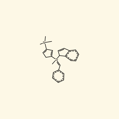 C[Si](C)(C)C1=CC[C]([Zr]([CH3])(=[CH]c2ccccc2)[CH]2C=Cc3ccccc32)=C1